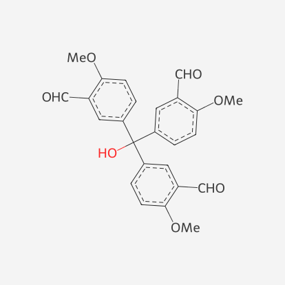 COc1ccc(C(O)(c2ccc(OC)c(C=O)c2)c2ccc(OC)c(C=O)c2)cc1C=O